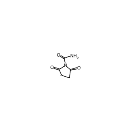 NC(=O)N1C(=O)[CH]CC1=O